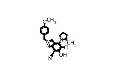 COc1ccc(Cn2cc3c(N4CCC[C@H]4C)c(Cl)c(O)c(C#N)c3n2)cc1